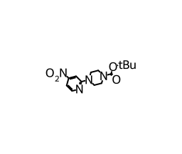 CC(C)(C)OC(=O)N1CCN(c2cc([N+](=O)[O-])ccn2)CC1